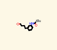 CC(C)(C)C(=O)Nc1cccc(CCCC[O])c1